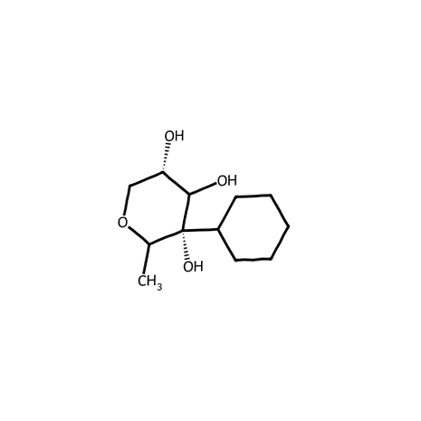 CC1OC[C@H](O)C(O)[C@@]1(O)C1CCCCC1